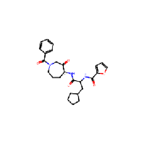 O=C(NC(CC1CCCC1)C(=O)N[C@H]1CCCN(C(=O)c2ccccc2)CC1=O)c1ccco1